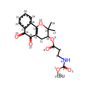 CC(C)(C)OC(=O)NCCC(=O)OC1CC2=C(OC1(C)C)c1ccccc1C(=O)C2=O